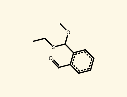 CCSC(OC)c1ccccc1[C]=O